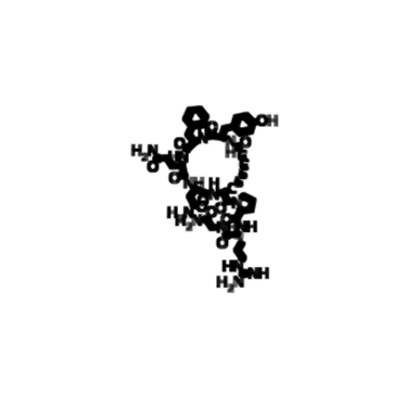 N=C(N)NCCC[C@@H](NC(=O)C1CCCN1C(=O)C1CSSCCC(=O)NC(Cc2ccc(O)cc2)C(=O)NC(Cc2ccccc2)C(=O)NC(CCC(N)=O)C(=O)NC(CC(N)=O)C(=O)N1)C(=O)NCC(N)=O